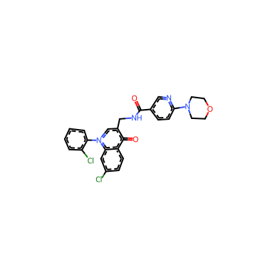 O=C(NCc1cn(-c2ccccc2Cl)c2cc(Cl)ccc2c1=O)c1ccc(N2CCOCC2)nc1